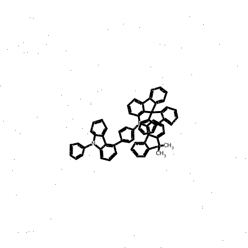 CC1(C)c2ccccc2-c2c(N(c3ccc(-c4cccc5c4c4ccccc4n5-c4ccccc4)cc3)c3cccc4c3C3(c5ccccc5-c5ccccc53)c3ccccc3-4)cccc21